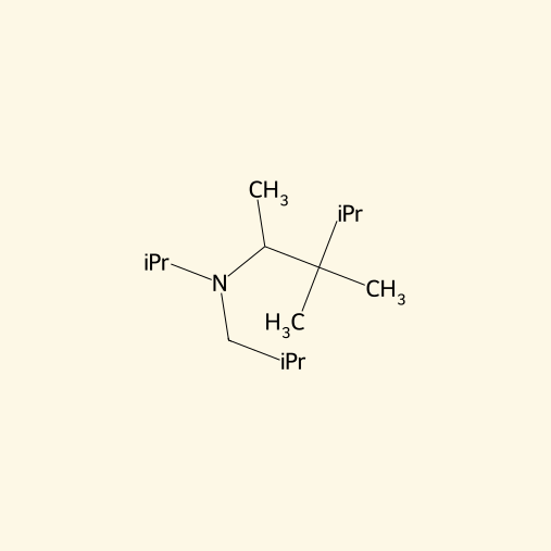 CC(C)CN(C(C)C)C(C)C(C)(C)C(C)C